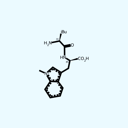 CCC(C)[C@H](N)C(=O)N[C@H](Cc1cn(C)c2ccccc12)C(=O)O